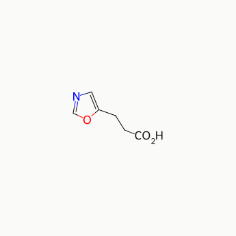 O=C(O)CCc1cnco1